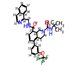 CC(C)(C)NC(=O)N1CCC2=C(c3cccc(OC(F)(F)F)c3)C=CC(C(=O)NCc3nccc4ccccc34)C2C1